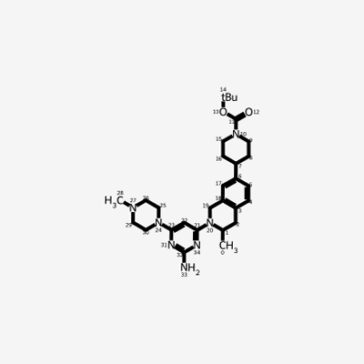 CC1Cc2ccc(C3CCN(C(=O)OC(C)(C)C)CC3)cc2CN1c1cc(N2CCN(C)CC2)nc(N)n1